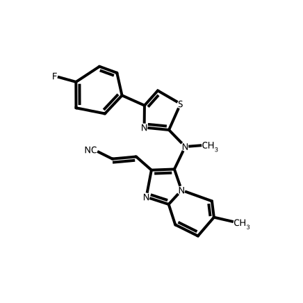 Cc1ccc2nc(/C=C/C#N)c(N(C)c3nc(-c4ccc(F)cc4)cs3)n2c1